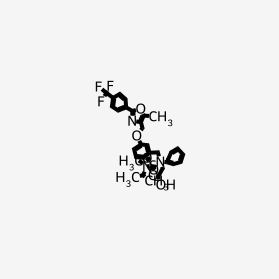 Cc1oc(-c2ccc(C(F)(F)F)cc2)nc1COc1cccc(C[N+](CC(=O)O)(c2ccccc2)S(=O)(=O)N(C)C(C)C)c1